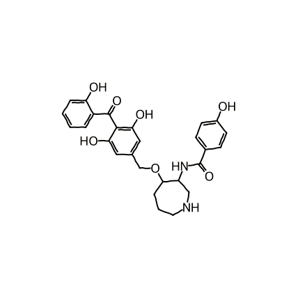 O=C(NC1CNCCCC1OCc1cc(O)c(C(=O)c2ccccc2O)c(O)c1)c1ccc(O)cc1